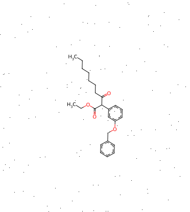 CCCCCCCC(=O)C(C(=O)OCC)c1cccc(OCc2ccccc2)c1